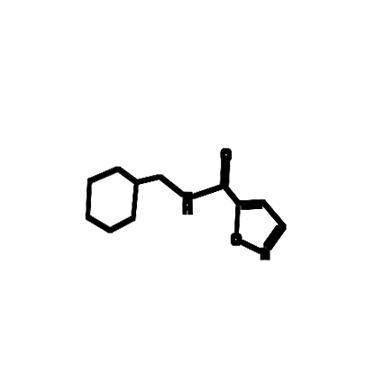 O=C(NCC1CCCCC1)c1ccno1